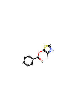 Cc1ncsc1OC(=O)c1ccccc1